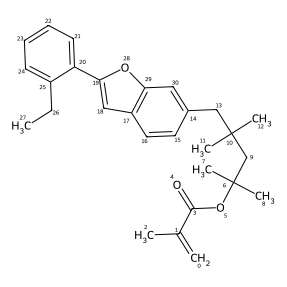 C=C(C)C(=O)OC(C)(C)CC(C)(C)Cc1ccc2cc(-c3ccccc3CC)oc2c1